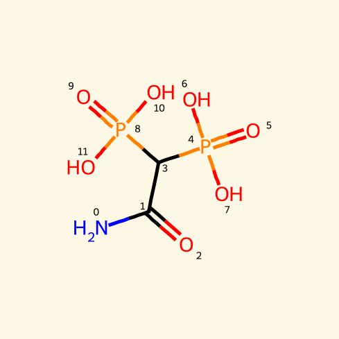 NC(=O)C(P(=O)(O)O)P(=O)(O)O